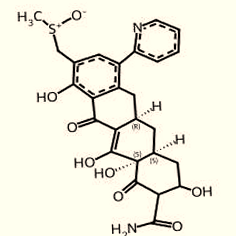 C[S+]([O-])Cc1cc(-c2ccccn2)c2c(c1O)C(=O)C1=C(O)[C@]3(O)C(=O)C(C(N)=O)C(O)C[C@@H]3C[C@@H]1C2